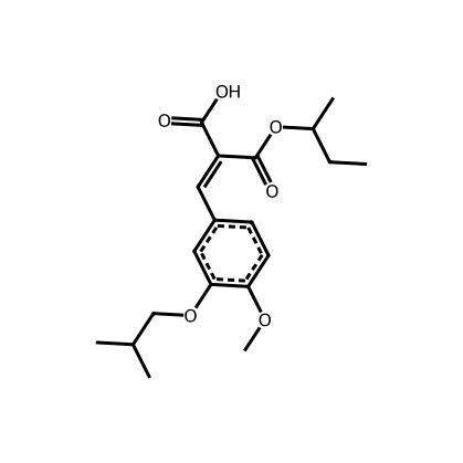 CCC(C)OC(=O)C(=Cc1ccc(OC)c(OCC(C)C)c1)C(=O)O